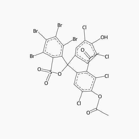 CC(=O)Oc1c(Cl)cc(C2(c3cc(Cl)c(O)c(Cl)c3)OS(=O)(=O)c3c(Br)c(Br)c(Br)c(Br)c32)c(C(C)=O)c1Cl